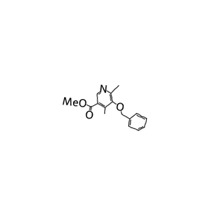 COC(=O)c1cnc(C)c(OCc2ccccc2)c1C